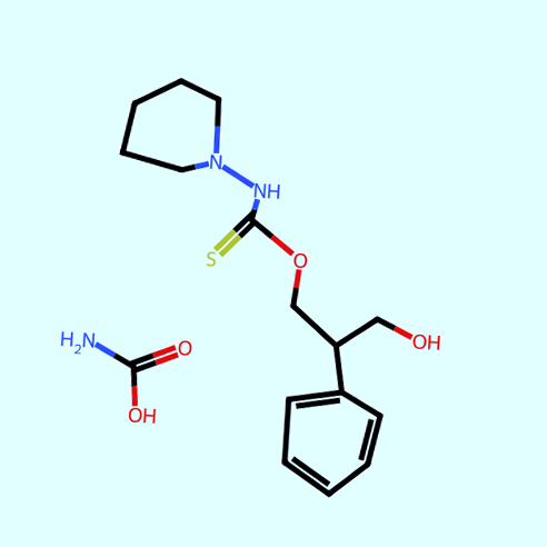 NC(=O)O.OCC(COC(=S)NN1CCCCC1)c1ccccc1